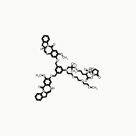 COCCOCCOCCN(CC(C)(C)SSCCC(C(=O)ON1C(=O)CCC1=O)S(=O)(=O)O)c1cc(COc2cc3c(cc2OC)C(=O)N2c4ccccc4C[C@H]2C=N3)cc(COc2cc3c(cc2OC)C(=O)N2C(=CN3)Cc3ccccc32)c1